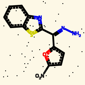 NN=C(c1ccc([N+](=O)[O-])o1)c1nc2ccccc2s1